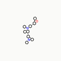 c1ccc(N(c2ccc(-c3ccc4oc5ccccc5c4c3)cc2)c2ccc(-c3ccc4c(c3)c3ccccc3n4-c3ccccc3)c3ccccc23)cc1